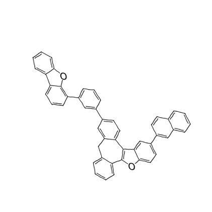 c1cc(-c2ccc3c(c2)Cc2ccccc2-c2oc4ccc(-c5ccc6ccccc6c5)cc4c2-3)cc(-c2cccc3c2oc2ccccc23)c1